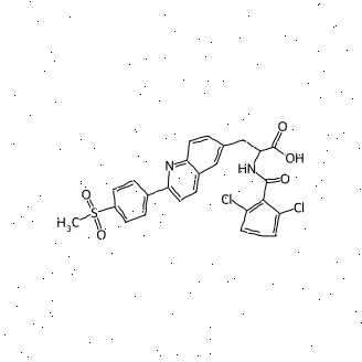 CS(=O)(=O)c1ccc(-c2ccc3cc(CC(NC(=O)c4c(Cl)cccc4Cl)C(=O)O)ccc3n2)cc1